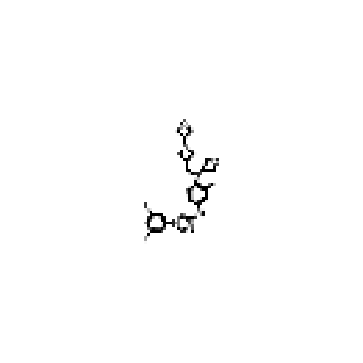 Cc1cc(Nc2ncn(-c3cc(F)cc(F)c3)n2)ccc1N(CC1CN(C2COC2)C1)C1COC1